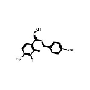 COc1ccc(CN/C(=N\O)c2ccc(C)c(I)c2F)cc1